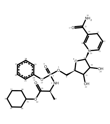 C[C@H](NP(=O)(OC[C@H]1O[C@@H](N2C=CCC(C(N)=O)=C2)C(O)C1O)Oc1ccccc1)C(=O)OC1CCCCC1